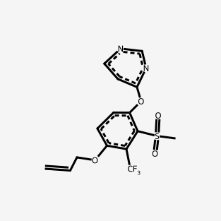 C=CCOc1ccc(Oc2ccncn2)c(S(C)(=O)=O)c1C(F)(F)F